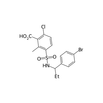 CCC(NS(=O)(=O)c1ccc(Cl)c(C(=O)O)c1C)c1ccc(Br)cc1